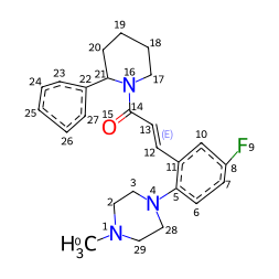 CN1CCN(c2ccc(F)cc2/C=C/C(=O)N2CCCCC2c2ccccc2)CC1